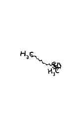 CCCCCCCCCCCCSSc1ccccc1C